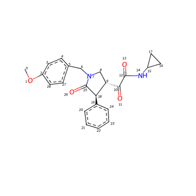 COc1ccc(CN2C[C@H](C(=O)C(=O)NC3CC3)[C@@H](c3ccccc3)C2=O)cc1